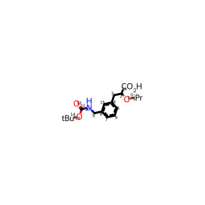 CC(C)OC(Cc1cccc(CNC(=O)OC(C)(C)C)c1)C(=O)O